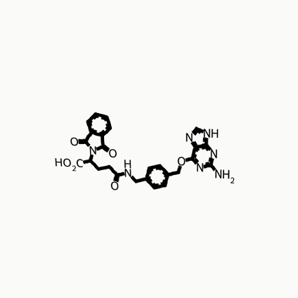 Nc1nc(OCc2ccc(CNC(=O)CCC(C(=O)O)N3C(=O)c4ccccc4C3=O)cc2)c2nc[nH]c2n1